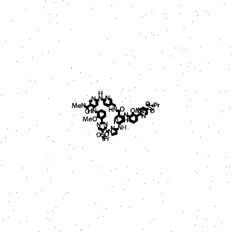 CNC(=O)c1cnc(Nc2ccc(CNC(=O)c3cnc(Nc4ccn(C)n4)cc3Nc3cccc(-c4ncc(S(=O)(=O)C(C)C)cn4)c3OC)cn2)cc1Nc1cccc(-c2ncc(S(=O)(=O)C(C)C)cn2)c1OC